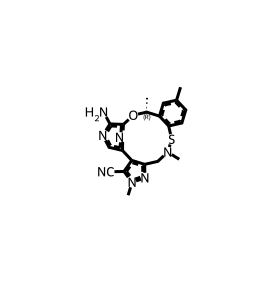 Cc1ccc2c(c1)[C@@H](C)Oc1nc(cnc1N)-c1c(nn(C)c1C#N)CN(C)S2